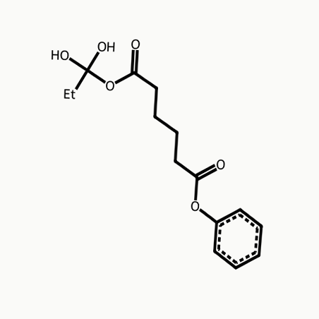 CCC(O)(O)OC(=O)CCCCC(=O)Oc1ccccc1